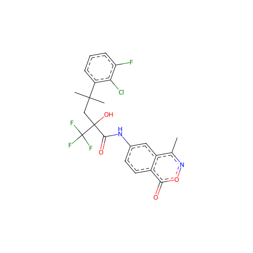 Cc1noc(=O)c2ccc(NC(=O)C(O)(CC(C)(C)c3cccc(F)c3Cl)C(F)(F)F)cc12